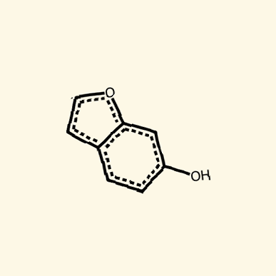 Oc1ccc2c[c]oc2c1